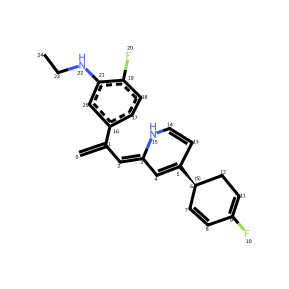 C=C(C=C1C=C([C@@H]2C=CC(F)=CC2)C=CN1)c1ccc(F)c(NCC)c1